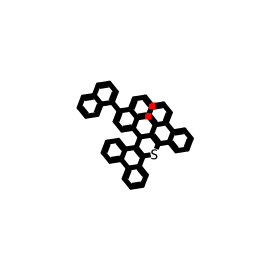 c1ccc2c(-c3ccc(C4c5c(c6ccccc6c6ccccc56)Sc5c4c4ccccc4c4ccccc54)c4ccccc34)cccc2c1